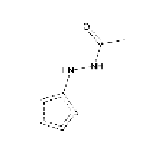 CC(=O)NNc1cccs1